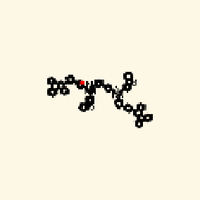 c1cc(-c2ccc(-c3nc(-c4cccc(-c5ccc(-c6cc7c8ccccc8c8ccccc8c7c7ccccc67)cc5)c4)nc(-c4ccc5oc6ccccc6c5c4)n3)cc2)cc(-c2nc(-c3ccc(-c4cccc(-c5cc6c7ccccc7c7ccccc7c6c6ccccc56)c4)cc3)nc(-c3ccc4oc5ccccc5c4c3)n2)c1